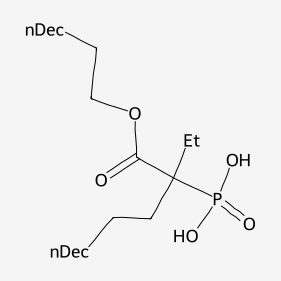 CCCCCCCCCCCCOC(=O)C(CC)(CCCCCCCCCCCC)P(=O)(O)O